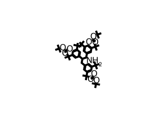 CC(C)(C)OC(=O)Oc1c(C(C)(C)C)cc(CC(c2cc(C(C)(C)C)c(OC(=O)OC(C)(C)C)c(C(C)(C)C)c2)C(N)c2cc(C(C)(C)C)c(OC(=O)OC(C)(C)C)c(C(C)(C)C)c2)cc1C(C)(C)C